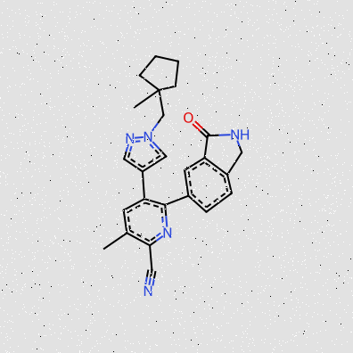 Cc1cc(-c2cnn(CC3(C)CCCC3)c2)c(-c2ccc3c(c2)C(=O)NC3)nc1C#N